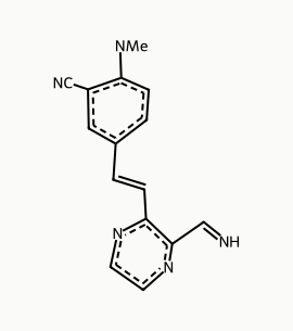 CNc1ccc(/C=C/c2nccnc2C=N)cc1C#N